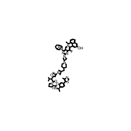 CCc1cccc2cc(O)cc(-c3ncc4c(N5CC6CCC(C5)N6)nc(N5CC(N6CCC(CC7CN(c8cc(C(C(=O)N9CCCC9C(=O)NC(C)c9ccc(-c%10scnc%10C)cc9)C(C)C)on8)C7)CC6)C5)nc4c3F)c12